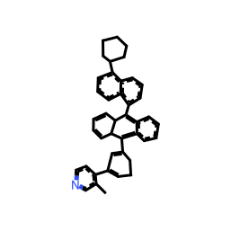 Cc1cnccc1C1=CCCC(C2=c3ccccc3=C(c3cccc4c(C5CCCCC5)cccc34)C3C=CC=CC23)=C1